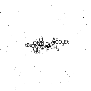 CCOC(=O)C(OC[C@H]1O[C@@H](n2cnc3c(N(C(=O)OC(C)(C)C)C(=O)OC(C)(C)C)nc(Cl)nc32)[C@@H](F)[C@@H]1C)C(C)=O